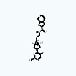 O=C(NCC[C@@H]1[C@H]2CN(c3nc(Cl)ncc3F)C[C@@H]12)c1cc2ccncc2s1